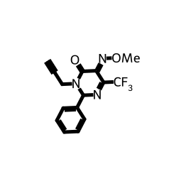 C#CCN1C(=O)C(=NOC)C(C(F)(F)F)=NC1c1ccccc1